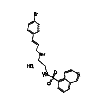 Cl.O=S(=O)(NCCNCC=Cc1ccc(Br)cc1)c1cccc2cnccc12